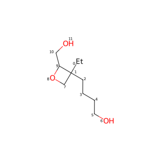 CCC1(CCCCO)COC1CO